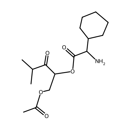 CC(=O)OCC(OC(=O)C(N)C1CCCCC1)C(=O)C(C)C